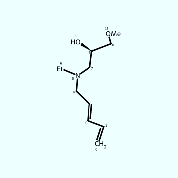 C=C/C=C/CN(CC)C[C@@H](O)COC